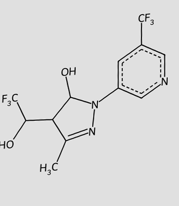 CC1=NN(c2cncc(C(F)(F)F)c2)C(O)C1C(O)C(F)(F)F